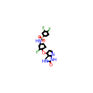 O=C1NCc2c(Oc3ccc(NS(=O)(=O)c4ccc(F)c(F)c4)cc3F)ccnc2N1